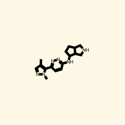 Cc1cnn(C)c1-c1ccc(NC2CCC3CNCC32)nn1